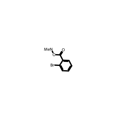 CNOC(=O)c1ccccc1Br